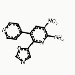 Nc1nc(-c2cnco2)c(-c2ccncc2)cc1[N+](=O)[O-]